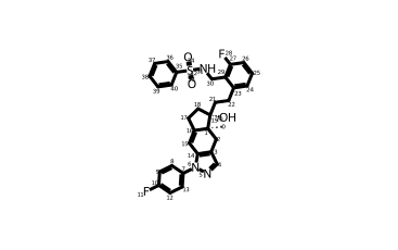 C[C@]12Cc3cnn(-c4ccc(F)cc4)c3C=C1CC[C@@]2(O)CCc1cccc(F)c1CNS(=O)(=O)c1ccccc1